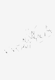 C=CCn1c(=O)c2cnc(Nc3ccc(N4CCN(C)CC4)cc3)nc2n1-c1cccc(-c2ccnc(F)c2)n1